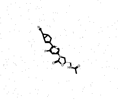 CC(=O)NC[C@H]1CN(c2ccc(C3=CC4C(C#N)C4C3)c(F)c2)C(=O)O1